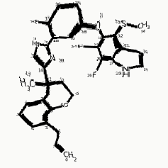 C=CCc1cccc2c1OCCC2(C)c1c[nH]c(-c2cc(Oc3c(F)c(F)c4[nH]ccc4c3SC)ccc2F)n1